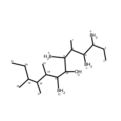 BC(CC)C(B)C(C)C(B)C(O)C(B)C(C)C(C)C(C)CC